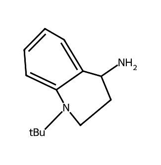 CC(C)(C)N1CCC(N)c2ccccc21